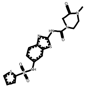 CN1CCN(C(=O)Nc2nc3ccc(NS(=O)(=O)c4cccs4)cc3s2)CC1=O